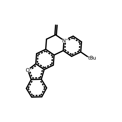 C=C1Cc2cc3oc4ccccc4c3cc2-c2cc(C(C)(C)C)cc[n+]21